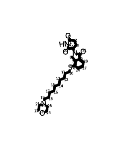 O=C1CCC(N2Cc3c(SCCCCCCCCCCN4CCOCC4)cccc3C2=O)C(=O)N1